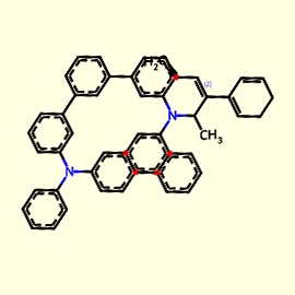 C=C/C=C(/C1=CCCC=C1)C(C)N(c1ccccc1)c1cccc(-c2cccc(-c3cccc(N(c4ccccc4)c4ccc(-c5ccccc5)cc4)c3)c2)c1